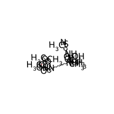 CCOc1cc(C(CS(C)(=O)=O)N2C(=O)c3cccc(NCCCCCCCCCCNC(C(=O)N4C[C@H](O)C[C@H]4C(=O)NCc4ccc(-c5scnc5C)cc4)C(C)(C)C)c3C2=O)ccc1OC